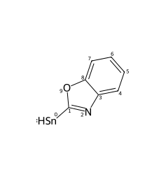 [SnH][c]1nc2ccccc2o1